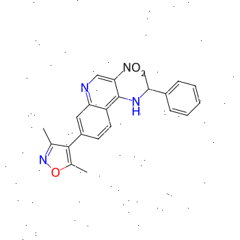 Cc1noc(C)c1-c1ccc2c(NC(C)c3ccccc3)c([N+](=O)[O-])cnc2c1